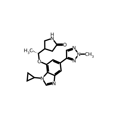 C[C@@H](Oc1cc(-c2cnn(C)n2)cc2ncn(C3CC3)c12)C1CNC(=O)C1